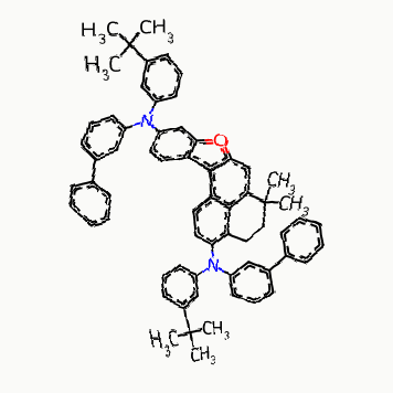 CC(C)(C)c1cccc(N(c2cccc(-c3ccccc3)c2)c2ccc3c(c2)oc2cc4c5c(c(N(c6cccc(-c7ccccc7)c6)c6cccc(C(C)(C)C)c6)ccc5c23)CCC4(C)C)c1